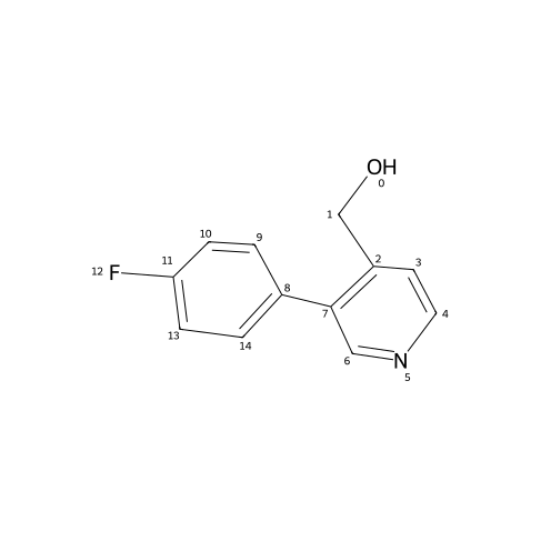 OCc1ccncc1-c1ccc(F)cc1